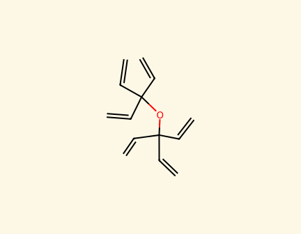 C=CC(C=C)(C=C)OC(C=C)(C=C)C=C